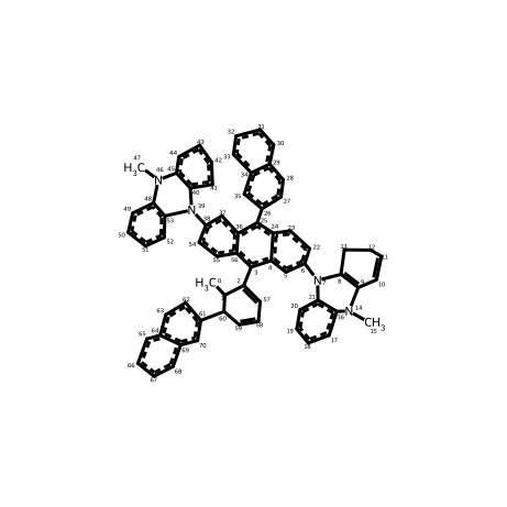 CC1C(c2c3cc(N4C5=C(C=CCC5)N(C)c5ccccc54)ccc3c(-c3ccc4ccccc4c3)c3cc(N4c5ccccc5N(C)c5ccccc54)ccc23)=CC=CC1c1ccc2ccccc2c1